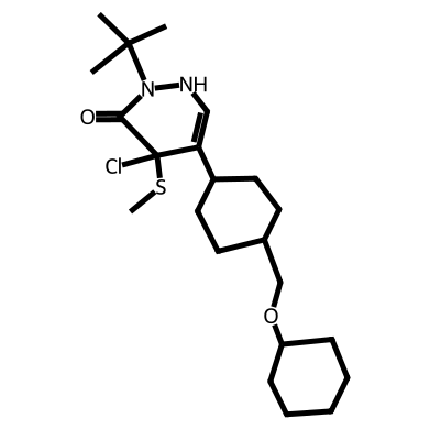 CSC1(Cl)C(=O)N(C(C)(C)C)NC=C1C1CCC(COC2CCCCC2)CC1